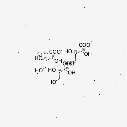 O=C([O-])[C@H](O)[C@@H](O)CO.O=C([O-])[C@H](O)[C@@H](O)CO.O=C([O-])[C@H](O)[C@@H](O)CO.[Cr+3]